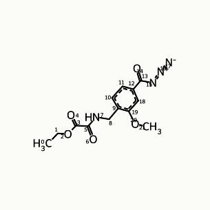 CCOC(=O)C(=O)NCc1ccc(C(=O)N=[N+]=[N-])cc1OC